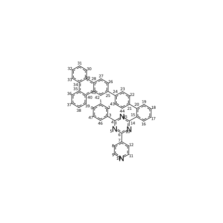 c1ccc(-c2nc(-c3ccncc3)nc(-c3ccccc3-c3ccc(-c4ccc5c6ccccc6c6ccccc6c5c4)cc3)n2)cc1